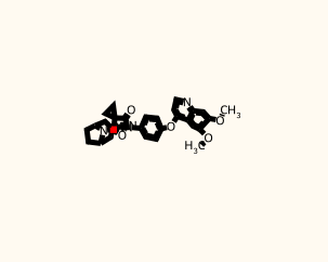 COc1cc2nccc(Oc3ccc(NC(=O)C4(C(=O)N5C6CCC5CC(C#N)C6)CC4)cc3)c2cc1OC